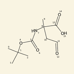 CC(C)(C)OC(=O)NC(C)(CC=O)C(=O)O